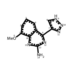 COc1cccc2c(-c3c[nH]nn3)nc(N)nc12